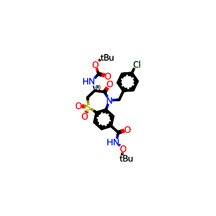 CC(C)(C)ONC(=O)c1ccc2c(c1)N(Cc1ccc(Cl)cc1)C(=O)[C@@H](NC(=O)OC(C)(C)C)CS2(=O)=O